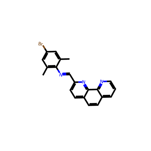 Cc1cc(Br)cc(C)c1/N=C/c1ccc2ccc3cccnc3c2n1